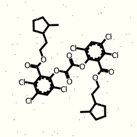 CC1CCCC1CCOC(=O)c1c(Cl)c(Cl)cc(Cl)c1OC(=O)C(=O)Oc1c(Cl)cc(Cl)c(Cl)c1C(=O)OCCC1CCCC1C